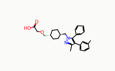 Cc1cccc(-c2c(C)nn(C[C@H]3CC[C@H](COCC(=O)O)CC3)c2-c2ccccc2)c1